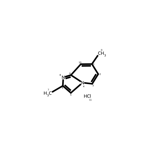 Cc1ccn2cc(C)nc2c1.Cl